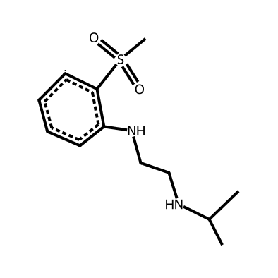 CC(C)NCCNc1ccc[c]c1S(C)(=O)=O